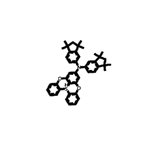 CC1(C)CC(C)(C)c2cc(N(c3cc4c5c(c3)Oc3ccccc3[SH]5c3ccccc3O4)c3ccc4c(c3)C(C)(C)CC4(C)C)ccc21